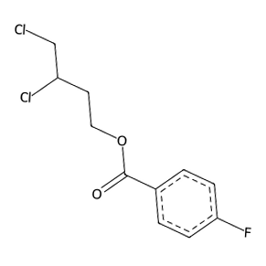 O=C(OCCC(Cl)CCl)c1ccc(F)cc1